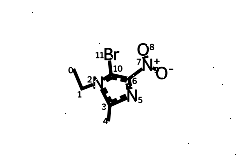 CCn1c(C)nc([N+](=O)[O-])c1Br